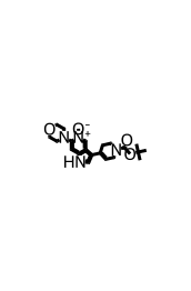 CC(C)(C)OC(=O)N1CC=C(c2c[nH]c3cc(N4CCOCC4)[n+]([O-])cc23)CC1